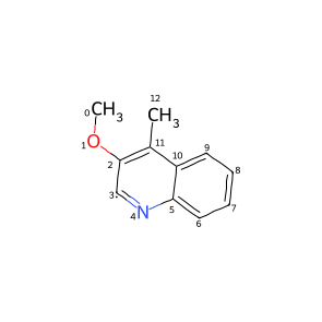 COc1[c]nc2ccccc2c1C